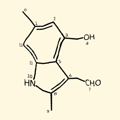 Cc1cc(O)c2c(C=O)c(C)[nH]c2c1